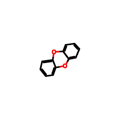 c1ccc2c(c1)Oc1ccccc1O2